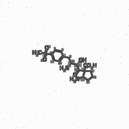 CS(=O)(=O)c1ccc(C[C@@H](N)[C@H](O)C(=O)C2(C(=O)O)CCCC2N)cc1